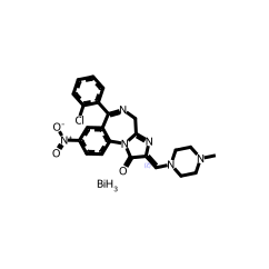 CN1CCN(/C=C2\N=C3CN=C(c4ccccc4Cl)c4cc([N+](=O)[O-])ccc4N3C2=O)CC1.[BiH3]